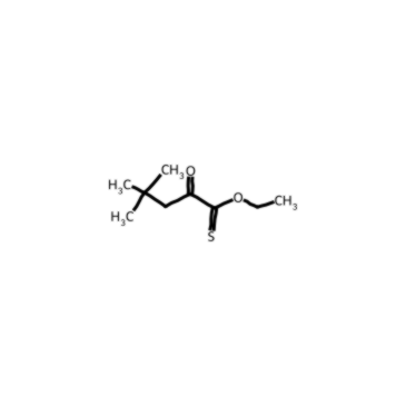 CCOC(=S)C(=O)CC(C)(C)C